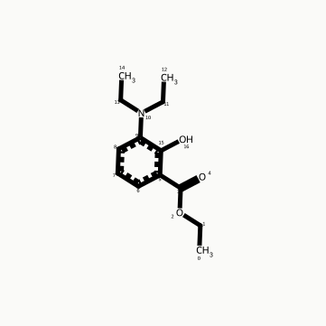 CCOC(=O)c1cccc(N(CC)CC)c1O